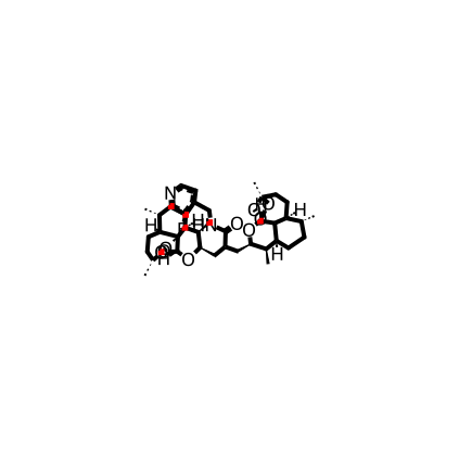 C[C@H]1[C@@H](CC(C[C@H]2O[C@@H]3O[C@]4(C)CC[C@H]5[C@H](C)CC[C@@H]([C@H]2C)[C@@]35OO4)C(=O)NCc2ccncc2F)O[C@@H]2O[C@]3(C)CC[C@H]4[C@H](C)CC[C@@H]1[C@@]24OO3